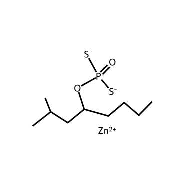 CCCCC(CC(C)C)OP(=O)([S-])[S-].[Zn+2]